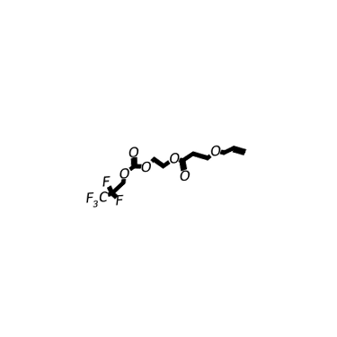 C=CCOCCC(=O)OCCOC(=O)OCC(F)(F)C(F)(F)F